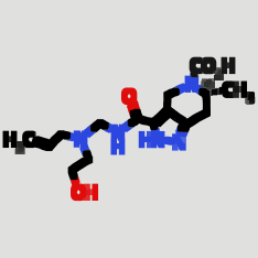 C=CCN(CCO)CNC(=O)c1[nH]nc2c1CN(C(=O)O)[C@H](C)C2